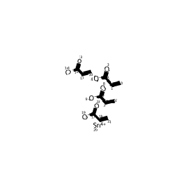 C=CC(=O)[O-].C=CC(=O)[O-].C=CC(=O)[O-].C=CC(=O)[O-].[Sn+4]